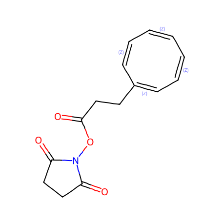 O=C(CCC1=C/C=C\C=C/C=C\1)ON1C(=O)CCC1=O